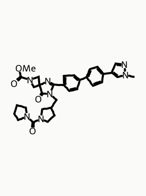 COC(=O)N1CC2(C1)N=C(c1ccc(-c3ccc(-c4cnn(C)c4)cc3)cc1)N(CC1CCN(C(=O)N3CCCC3)C1)C2=O